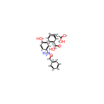 CC(=O)O.Nc1ccc(O)cc1.O=C(O)c1ccccc1.O=Cc1ccccc1